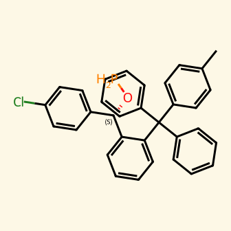 Cc1ccc(C(c2ccccc2)(c2ccccc2)c2ccccc2[C@@H](OP)c2ccc(Cl)cc2)cc1